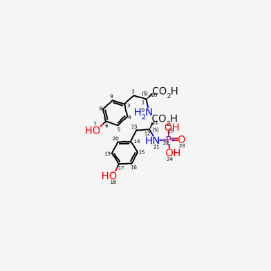 N[C@@H](Cc1ccc(O)cc1)C(=O)O.O=C(O)[C@H](Cc1ccc(O)cc1)NP(=O)(O)O